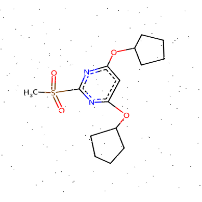 CS(=O)(=O)c1nc(OC2CCCC2)cc(OC2CCCC2)n1